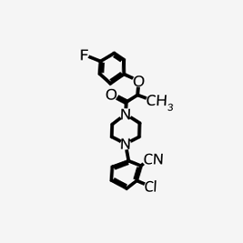 CC(Oc1ccc(F)cc1)C(=O)N1CCN(c2cccc(Cl)c2C#N)CC1